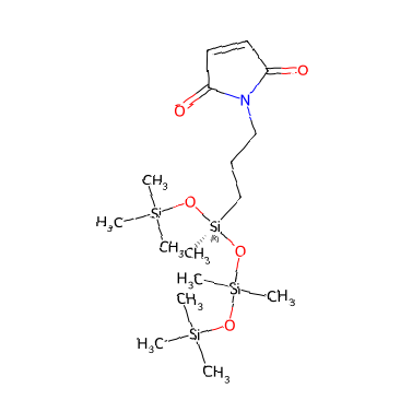 C[Si](C)(C)O[Si](C)(C)O[Si@](C)(CCCN1C(=O)C=CC1=O)O[Si](C)(C)C